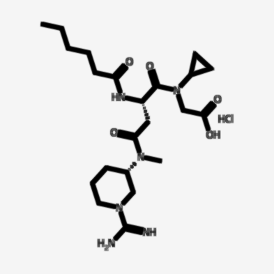 CCCCCC(=O)N[C@@H](CC(=O)N(C)[C@H]1CCCN(C(=N)N)C1)C(=O)N(CC(=O)O)C1CC1.Cl